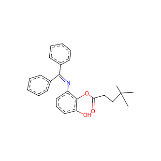 CC(C)(C)CCC(=O)Oc1c(O)cccc1N=C(c1ccccc1)c1ccccc1